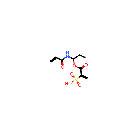 C=CC(=O)NC(CC)OC(=O)C(=C)S(=O)(=O)O